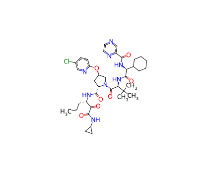 CCC[C@H](NC(=O)[C@@H]1C[C@@H](Oc2ccc(Cl)cn2)CN1C(=O)[C@@H](NC(=O)[C@@H](NC(=O)c1cnccn1)C1CCCCC1)C(C)(C)C)C(=O)C(=O)NC1CC1